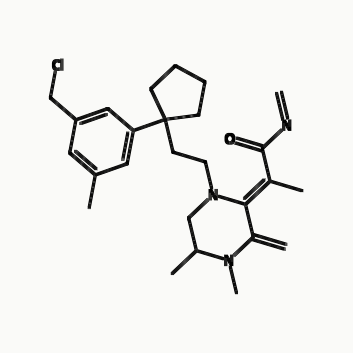 C=NC(=O)/C(C)=C1/C(=C)N(C)C(C)CN1CCC1(c2cc(C)cc(CCl)c2)CCCC1